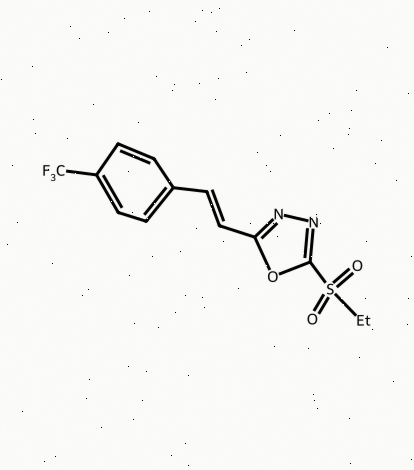 CCS(=O)(=O)c1nnc(C=Cc2ccc(C(F)(F)F)cc2)o1